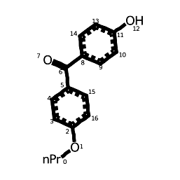 CCCOc1ccc(C(=O)c2ccc(O)cc2)cc1